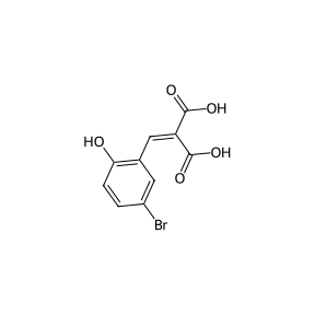 O=C(O)C(=Cc1cc(Br)ccc1O)C(=O)O